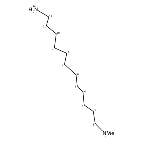 CNCCCCCCCCCCCCN